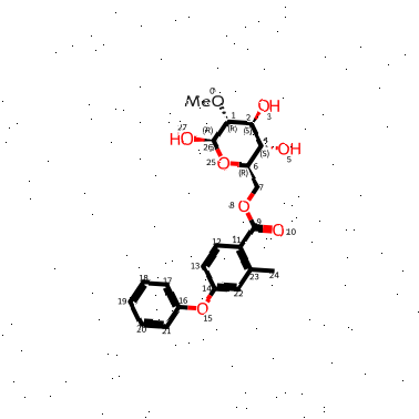 CO[C@@H]1[C@@H](O)[C@H](O)[C@@H](COC(=O)c2ccc(Oc3ccccc3)cc2C)O[C@H]1O